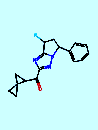 O=C(c1nc2n(n1)C(c1ccccc1)CC2F)C1CC12CC2